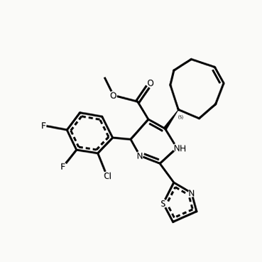 COC(=O)C1=C([C@@H]2CCC=CCCC2)NC(c2nccs2)=NC1c1ccc(F)c(F)c1Cl